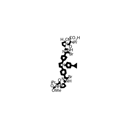 COC(=O)N[C@H](C(=O)N1CCC[C@H]1c1nc(-c2ccc(-c3ccc(-c4ccc(-c5nc([C@@H]6CCCN6C(=O)[C@H](C(C)C)N(C)C(=O)O)[nH]c5Br)cc4)n3-c3ccc(C4CC4)cc3)cc2)c(Br)[nH]1)C(C)C